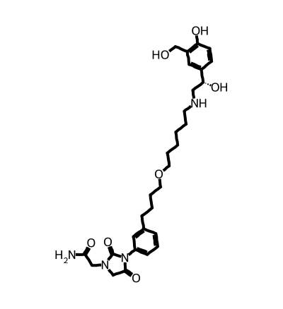 NC(=O)CN1CC(=O)N(c2cccc(CCCCOCCCCCCNC[C@@H](O)c3ccc(O)c(CO)c3)c2)C1=O